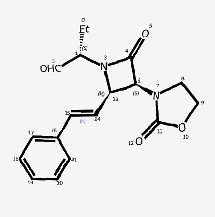 CC[C@@H](C=O)N1C(=O)[C@@H](N2CCOC2=O)[C@H]1/C=C/c1ccccc1